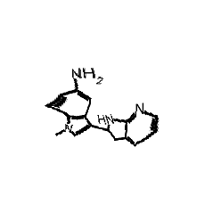 Cn1cc(C2Cc3cccnc3N2)c2cc(N)ccc21